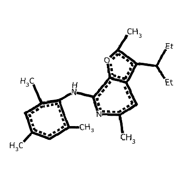 CCC(CC)c1c(C)oc2c(Nc3c(C)cc(C)cc3C)nc(C)cc12